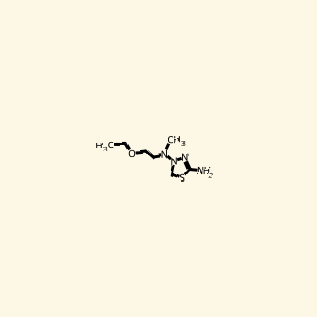 CCOCCN(C)N1CSC(N)=N1